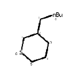 [CH2]CCCCC1CCCSC1